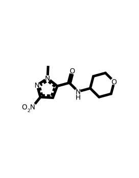 Cn1nc([N+](=O)[O-])cc1C(=O)NC1CCOCC1